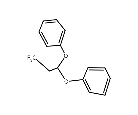 FC(F)(F)CC(Oc1ccccc1)Oc1ccccc1